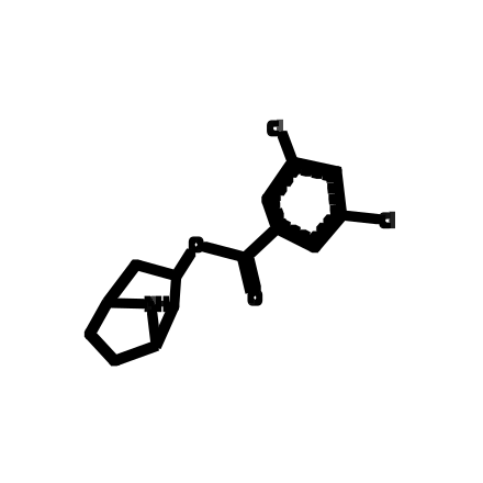 O=C(OC1CC2CCC(C1)N2)c1cc(Cl)cc(Cl)c1